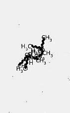 CCCCCCC(C)(CCCCCC)OC(C)(C)CCOC(C)(C)CCNC(=O)C(C)(CCCCCC)CCCCCC